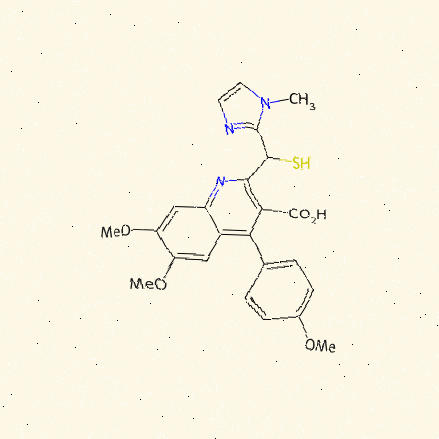 COc1ccc(-c2c(C(=O)O)c(C(S)c3nccn3C)nc3cc(OC)c(OC)cc23)cc1